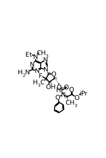 CCN(C)c1nc(N)nc2c1ncn2[C@@H]1O[C@H](CO[PH](=O)N(Oc2ccccc2)[C@@H](C)C(=O)OC(C)C)[C@@H](O)[C@@]1(C)F